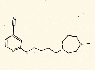 CN1CCCN(CCCCOc2cc(C#N)ccn2)CC1